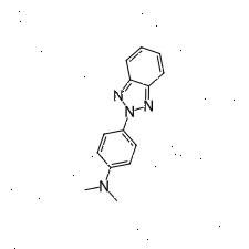 CN(C)c1ccc(-n2nc3ccccc3n2)cc1